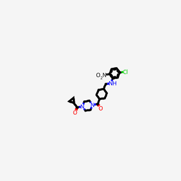 O=C(C1CCC(CNc2cc(Cl)ccc2[N+](=O)[O-])CC1)N1CCN(C(=O)C2CC2)CC1